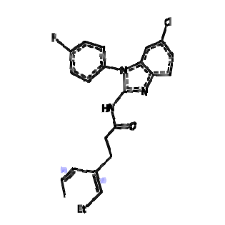 C/C=C\C(=C/CC)CCC(=O)Nc1nc2ccc(Cl)cc2n1-c1ccc(F)cc1